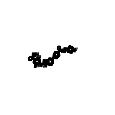 Cc1cc(C(N)=O)ccc1Nc1nc2ccc(-c3ccc(C(=O)NCc4ccc(F)cc4)cc3)cn2n1